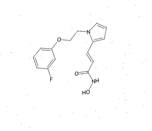 O=C(/C=C/c1cccn1CCOc1cccc(F)c1)NO